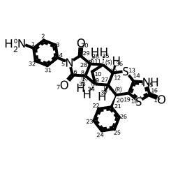 Nc1ccc(N2C(=O)[C@@H]3[C@H]4C[C@H]([C@@H]5Sc6[nH]c(=O)sc6[C@@H](c6ccccc6)[C@H]45)[C@@H]3C2=O)cc1